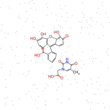 Cc1cn(CC(=O)O)c(=O)[nH]c1=O.O=C(O)c1ccccc1-c1c2ccc(=O)c(O)c-2oc2c(O)c(O)ccc12